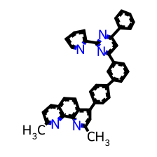 Cc1ccc2ccc3c(-c4ccc(-c5cccc(-c6cc(-c7ccccc7)nc(-c7ccccn7)n6)c5)cc4)cc(C)nc3c2n1